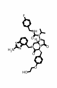 CC(C)N(C(=O)NCc1ccc(F)cc1)N1CC(=O)N2[C@@H](Cc3ccc(OCCO)cc3)C(=O)N(Cc3cccc4sc(N)nc34)C[C@@H]21